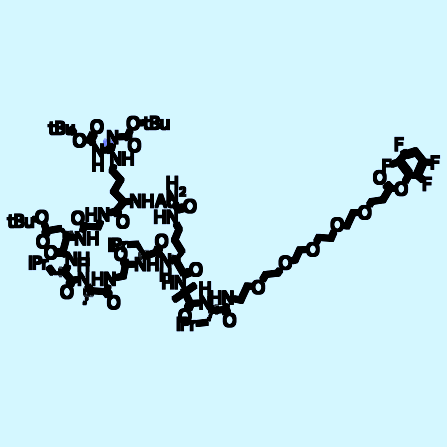 CC(=O)NC(CCCN/C(=N\C(=O)OC(C)(C)C)NC(=O)OC(C)(C)C)C(=O)NCC(=O)N[C@@H](CC(=O)OC(C)(C)C)C(=O)N[C@@H](CC(C)C)C(=O)N[C@@H](C)C(=O)NCC(=O)N[C@@H](CC(C)C)C(=O)N[C@@H](CCCNC(N)=O)C(=O)NC(C)(C)C(=O)N[C@@H](CC(C)C)C(=O)NCCOCCOCCOCCOCCOCCC(=O)Oc1c(F)c(F)cc(F)c1F